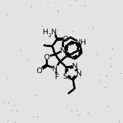 CCc1nnc(C2(c3ccccc3)N(F)C(=O)OC2(C(C)C(N)=O)N2CCNCC2)s1